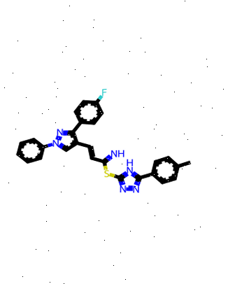 Cc1ccc(-c2nnc(SC(=N)/C=C/c3cn(-c4ccccc4)nc3-c3ccc(F)cc3)[nH]2)cc1